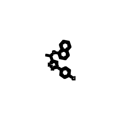 CC(Oc1cccc2ccccc12)c1cn(-c2ccc(Cl)cc2)nn1